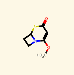 O=C(O)OC1=CC(=O)SC2CCN12